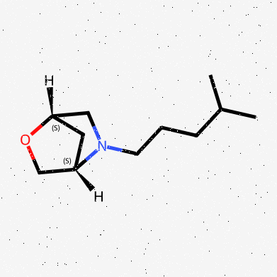 CC(C)CCCN1C[C@@H]2C[C@H]1CO2